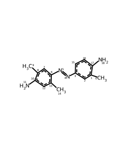 Cc1cc(N=Nc2cc(C)c(N)cc2C)ccc1N